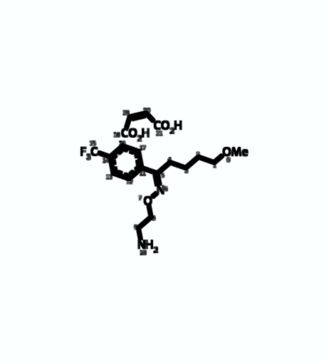 COCCCC/C(=N/OCCN)c1ccc(C(F)(F)F)cc1.O=C(O)/C=C\C(=O)O